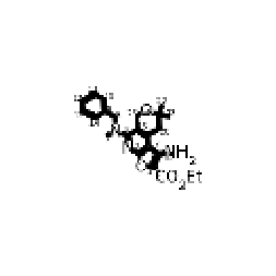 CCOC(=O)c1oc2nc(N(C)Cc3ccccc3)c3c(c2c1N)CC(C)(C)OC3